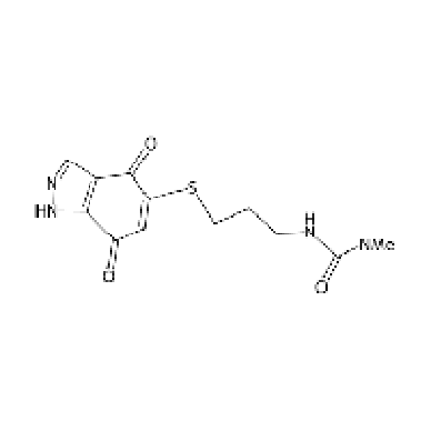 CNC(=O)NCCCSC1=CC(=O)c2[nH]ncc2C1=O